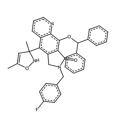 CC1=CC(C)(c2c3c(c(OC(c4ccccc4)c4ccccc4)c4ncccc24)C(=O)N(Cc2ccc(F)cc2)C3)NO1